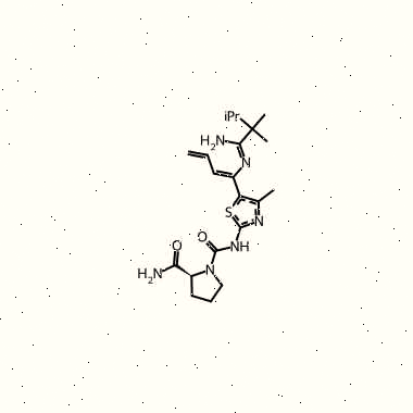 C=C/C=C(\N=C(/N)C(C)(C)C(C)C)c1sc(NC(=O)N2CCC[C@H]2C(N)=O)nc1C